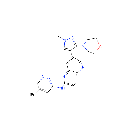 CC(C)c1cnnc(Nc2ccc3ncc(-c4cn(C)nc4N4CCOCC4)cc3n2)c1